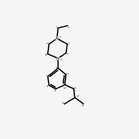 CCN1CCN(c2cccc(CC(C)C)c2)CC1